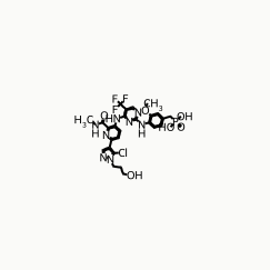 CNC(=O)c1nc(-c2cnn(CCCO)c2Cl)ccc1Nc1nc(Nc2ccc(CP(=O)(O)O)cc2OC)ncc1C(F)(F)F